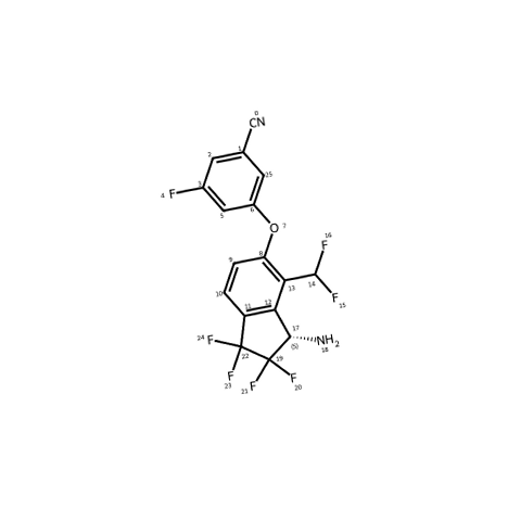 N#Cc1cc(F)cc(Oc2ccc3c(c2C(F)F)[C@H](N)C(F)(F)C3(F)F)c1